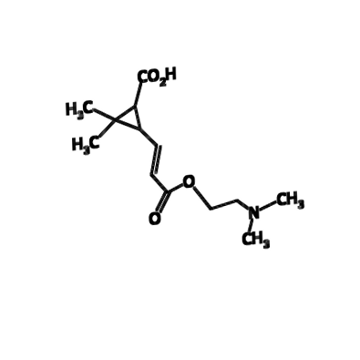 CN(C)CCOC(=O)C=CC1C(C(=O)O)C1(C)C